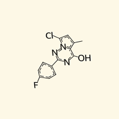 Cc1cc(Cl)n2nc(-c3ccc(F)cc3)nc(O)c12